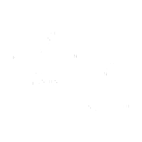 CCCCCCN(CCCCCN)C(=O)c1ccc(-c2cc3ccc(/C(=N\O)c4cc(CC(=O)NO)c(-c5cccc(O)c5)s4)cc3n2CCCCN)cc1